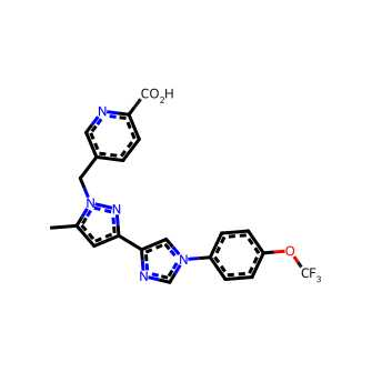 Cc1cc(-c2cn(-c3ccc(OC(F)(F)F)cc3)cn2)nn1Cc1ccc(C(=O)O)nc1